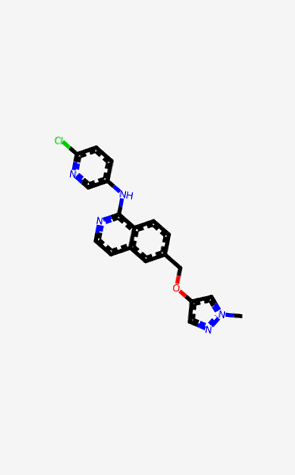 Cn1cc(OCc2ccc3c(Nc4ccc(Cl)nc4)nccc3c2)cn1